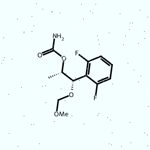 COCO[C@@H](c1c(F)cccc1F)[C@H](C)OC(N)=O